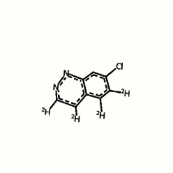 [2H]c1nnc2cc(Cl)c([2H])c([2H])c2c1[2H]